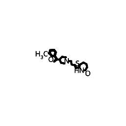 Cc1cccc2c(C3CCN(CCc4cc5c(s4)CCCC(=O)N5)CC3)coc12